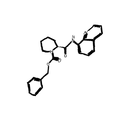 O=C(Nc1cccc2cccnc12)[C@@H]1CCCCN1C(=O)OCc1ccccc1